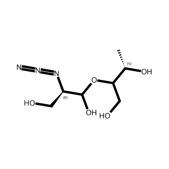 C[C@H](O)C(CO)OC(O)[C@@H](CO)N=[N+]=[N-]